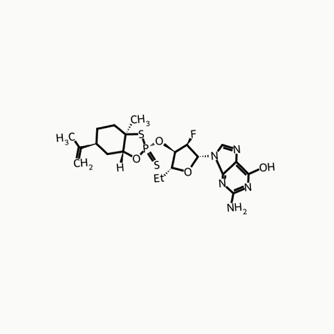 C=C(C)[C@H]1CC[C@@]2(C)S[P@](=S)(O[C@H]3[C@@H](F)[C@H](n4cnc5c(O)nc(N)nc54)O[C@@H]3CC)O[C@@H]2C1